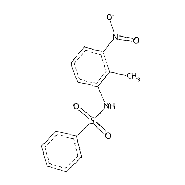 Cc1c(NS(=O)(=O)c2ccccc2)cccc1[N+](=O)[O-]